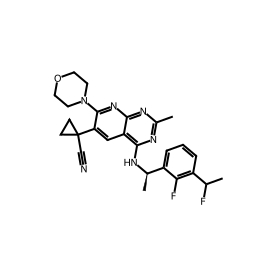 Cc1nc(N[C@H](C)c2cccc(C(C)F)c2F)c2cc(C3(C#N)CC3)c(N3CCOCC3)nc2n1